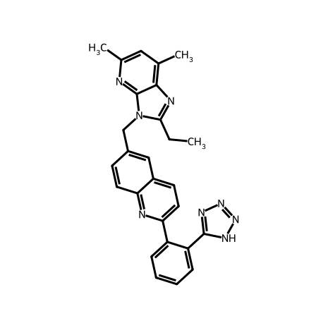 CCc1nc2c(C)cc(C)nc2n1Cc1ccc2nc(-c3ccccc3-c3nnn[nH]3)ccc2c1